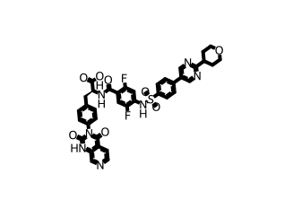 O=C(N[C@@H](Cc1ccc(-n2c(=O)[nH]c3cnccc3c2=O)cc1)C(=O)O)c1cc(F)c(NS(=O)(=O)c2ccc(-c3cnc(C4CCOCC4)nc3)cc2)cc1F